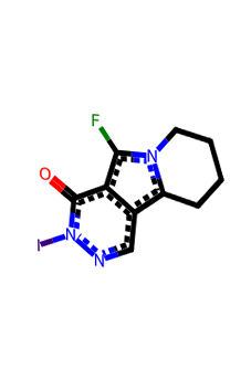 O=c1c2c(F)n3c(c2cnn1I)CCCC3